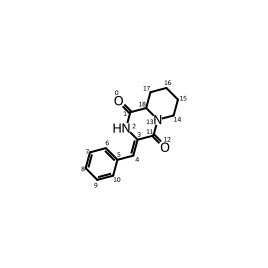 O=C1N/C(=C\c2ccccc2)C(=O)N2CCCCC12